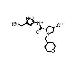 CC(C)(C)Cc1cc(NC(=O)[C@@H]2C[C@@H](O)CN2CC2CCOCC2)on1